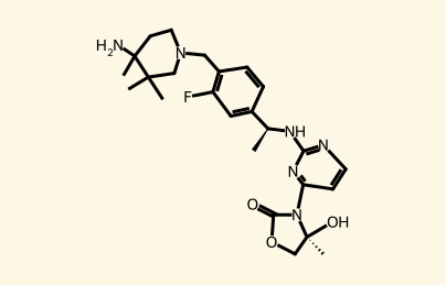 C[C@H](Nc1nccc(N2C(=O)OC[C@]2(C)O)n1)c1ccc(CN2CCC(C)(N)C(C)(C)C2)c(F)c1